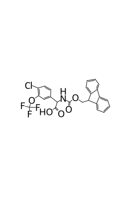 O=C(NC(C(=O)O)c1ccc(Cl)c(OC(F)(F)F)c1)OCC1c2ccccc2-c2ccccc21